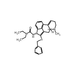 CCN(CC)C(=O)Nn1c(SCc2ccccc2)c2c3c(cccc31)C1=CCCN(C)[C@@H]1C2